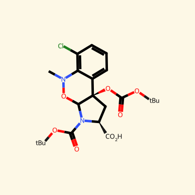 CN1OC2N(C(=O)OC(C)(C)C)[C@H](C(=O)O)C[C@@]2(OC(=O)OC(C)(C)C)c2cccc(Cl)c21